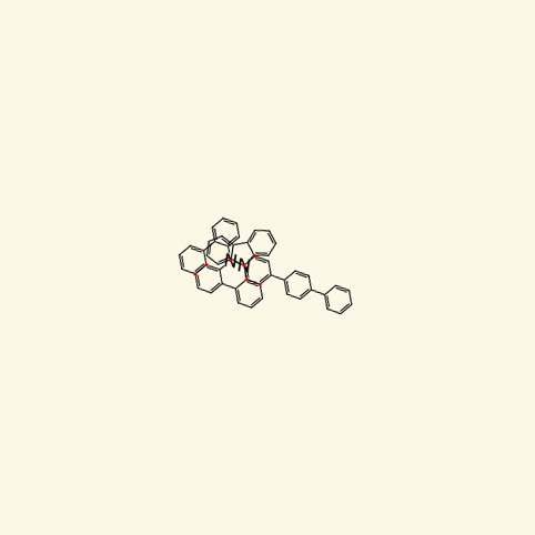 c1ccc(-c2ccc(-c3ccc(N(c4ccccc4-c4ccccc4)c4ccccc4-c4ccccc4-n4c5ccccc5c5ccccc54)cc3)cc2)cc1